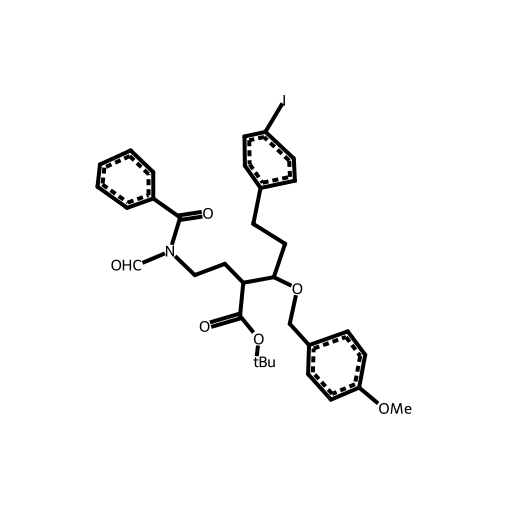 COc1ccc(COC(CCc2ccc(I)cc2)C(CCN(C=O)C(=O)c2ccccc2)C(=O)OC(C)(C)C)cc1